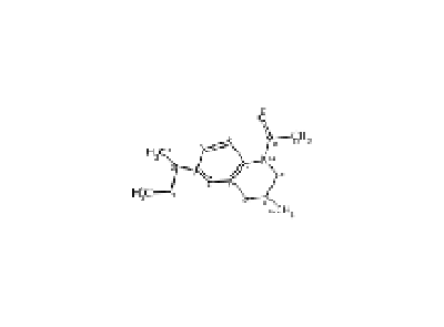 CCC(C)c1ccc2c(c1)CC(C)CN2C(C)=O